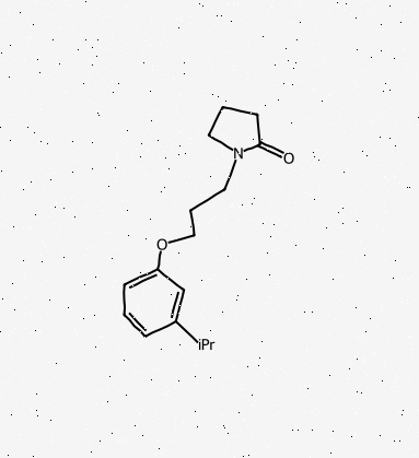 CC(C)c1cccc(OCCCN2CCCC2=O)c1